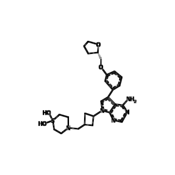 Nc1ncnc2c1c(-c1cccc(OC[C@@H]3CCCO3)c1)cn2C1CC(CN2CCS(O)(O)CC2)C1